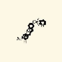 CC(=O)N1C[C@@H]2CC[C@H]1CN2Cc1cc2cc(Oc3nc4ncccc4s3)ccc2o1